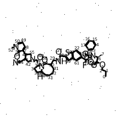 CCCOC(=O)[C@H](C)NP(=O)(Oc1ccccc1)C(F)c1ccc2sc(C(=O)NCC3CCCC[C@H]4CC[C@@H](C(=O)N5CC(C#N)C(c6cccn(C)c6=O)C5)N4C3=O)cc2c1